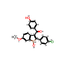 COc1ccc2c(C(=O)c3ccc(O)cc3)c(-c3ccc(Cl)cc3)[s+]([O-])c2c1